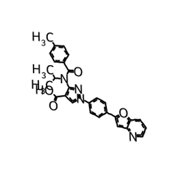 Cc1ccc(C(=O)N(c2nn(-c3ccc(-c4cc5ncccc5o4)cc3)cc2C(=O)O)C(C)C)cc1